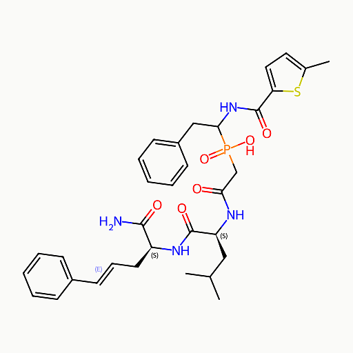 Cc1ccc(C(=O)NC(Cc2ccccc2)P(=O)(O)CC(=O)N[C@@H](CC(C)C)C(=O)N[C@@H](C/C=C/c2ccccc2)C(N)=O)s1